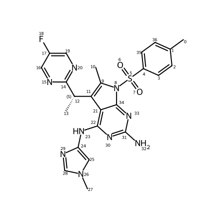 Cc1ccc(S(=O)(=O)n2c(C)c([C@H](C)c3ncc(F)cn3)c3c(Nc4cn(C)cn4)nc(N)nc32)cc1